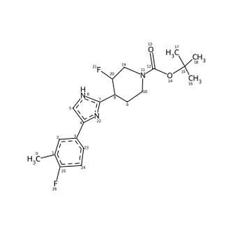 Cc1cc(-c2c[nH]c(C3CCN(C(=O)OC(C)(C)C)CC3F)n2)ccc1F